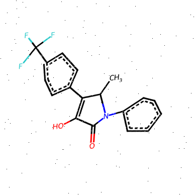 CC1C(c2ccc(C(F)(F)F)cc2)=C(O)C(=O)N1c1ccccc1